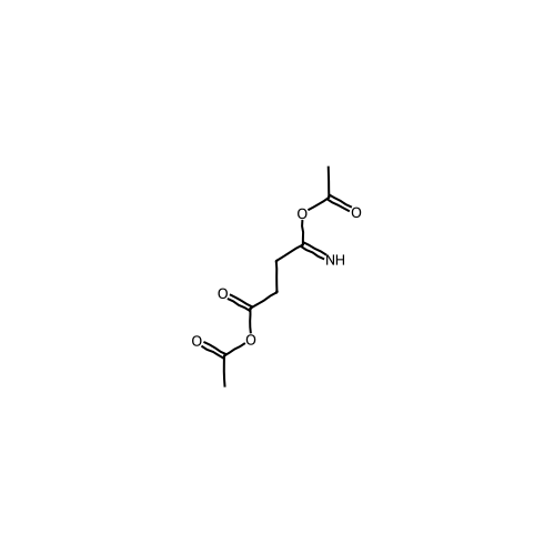 CC(=O)OC(=N)CCC(=O)OC(C)=O